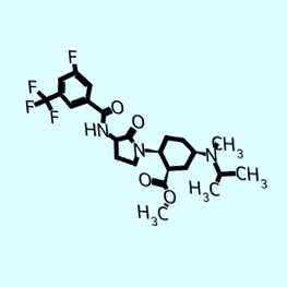 COC(=O)[C@@H]1C[C@H](N(C)C(C)C)CC[C@@H]1N1CCC(NC(=O)c2cc(F)cc(C(F)(F)F)c2)C1=O